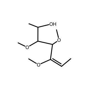 C/C=C(/OC)C(OC)C(OC)C(C)O